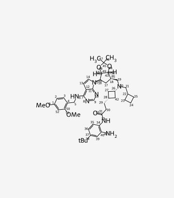 COc1ccc(CNc2ncnc3c2ccn3[C@@H]2C[C@H](CN(CC3CCC3)[C@H]3C[C@@H](CCC(=O)Nc4ccc(C(C)(C)C)cc4N)C3)[C@H]3OC(C)(C)O[C@H]32)c(OC)c1